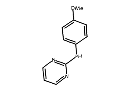 COc1ccc(Pc2ncccn2)cc1